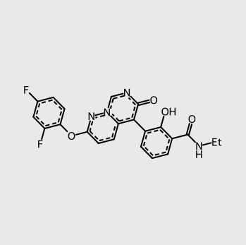 CCNC(=O)c1cccc(-c2c(=O)ncn3nc(Oc4ccc(F)cc4F)ccc23)c1O